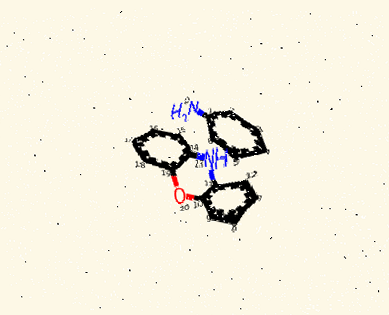 Nc1ccccc1.c1ccc2c(c1)Nc1ccccc1O2